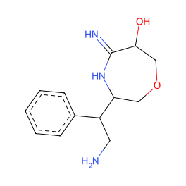 N=C1NC(C(CN)c2ccccc2)COCC1O